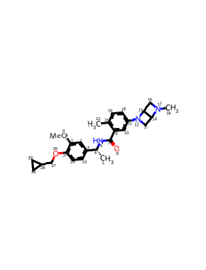 COc1cc([C@@H](C)NC(=O)c2cc(N3CC4C3CN4C)ccc2C)ccc1OCC1CC1